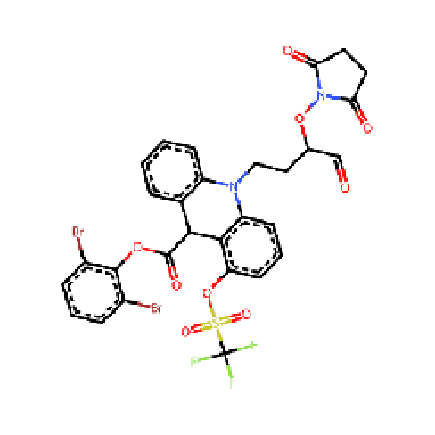 O=CC(CCN1c2ccccc2C(C(=O)Oc2c(Br)cccc2Br)c2c(OS(=O)(=O)C(F)(F)F)cccc21)ON1C(=O)CCC1=O